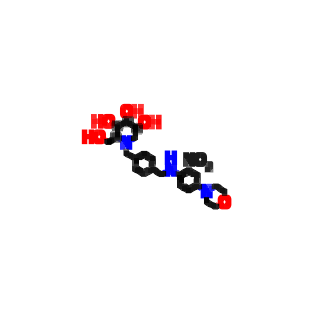 O=[N+]([O-])c1cc(N2CCOCC2)ccc1NCc1ccc(CN2C[C@@H](O)[C@H](O)[C@@H](O)[C@@H]2CO)cc1